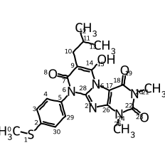 CSc1ccc(-n2c(=O)c(CC(C)C)c(O)n3c4c(=O)n(C)c(=O)n(C)c4nc23)cc1